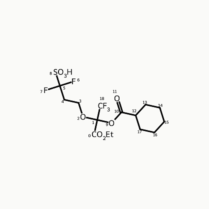 CCOC(=O)C(OCCC(F)(F)S(=O)(=O)O)(OC(=O)C1CCCCC1)C(F)(F)F